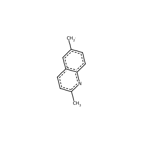 [CH2]c1ccc2nc(C)ccc2c1